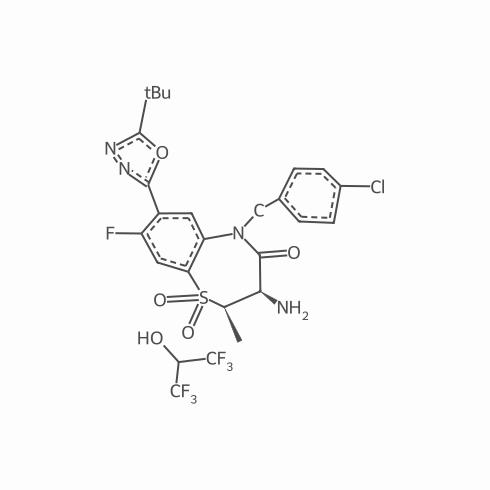 C[C@@H]1[C@H](N)C(=O)N(Cc2ccc(Cl)cc2)c2cc(-c3nnc(C(C)(C)C)o3)c(F)cc2S1(=O)=O.OC(C(F)(F)F)C(F)(F)F